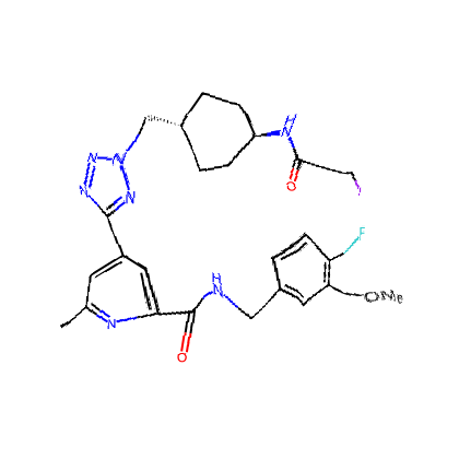 COc1cc(CNC(=O)c2cc(-c3nnn(C[C@H]4CC[C@H](NC(=O)CI)CC4)n3)cc(C)n2)ccc1F